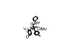 COCc1c(C(=O)NC2CCCCC2)nn(-c2ccc(Cl)cc2C)c1-c1ccc(I)cc1